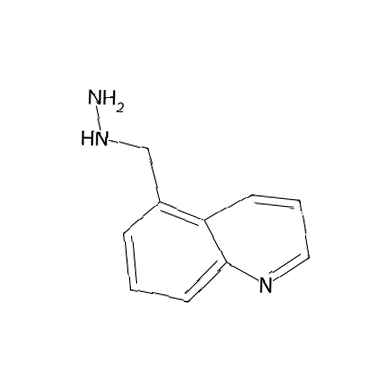 NNCc1cccc2ncccc12